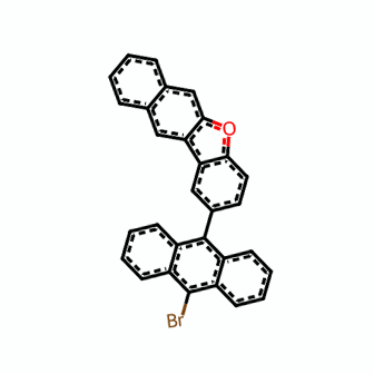 Brc1c2ccccc2c(-c2ccc3oc4cc5ccccc5cc4c3c2)c2ccccc12